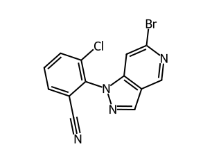 N#Cc1cccc(Cl)c1-n1ncc2cnc(Br)cc21